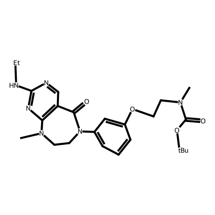 CCNc1ncc2c(n1)N(C)CCN(c1cccc(OCCN(C)C(=O)OC(C)(C)C)c1)C2=O